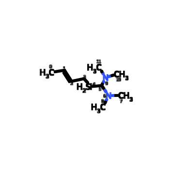 CC=CC[SiH2]C(N(C)C)N(C)C